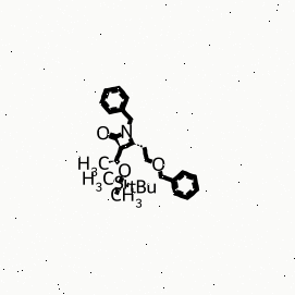 C[C@@H](O[Si](C)(C)C(C)(C)C)[C@H]1C(=O)N(Cc2ccccc2)[C@@H]1CCOCc1ccccc1